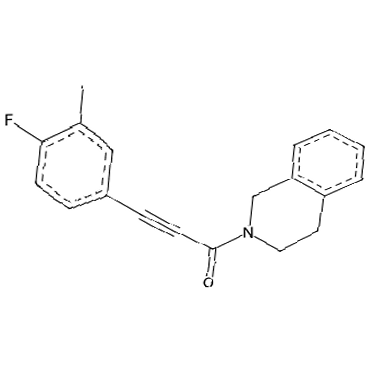 Cc1cc(C#CC(=O)N2CCc3ccccc3C2)ccc1F